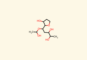 CC(O)OC(CC(O)C(C)O)C1OCCC1O